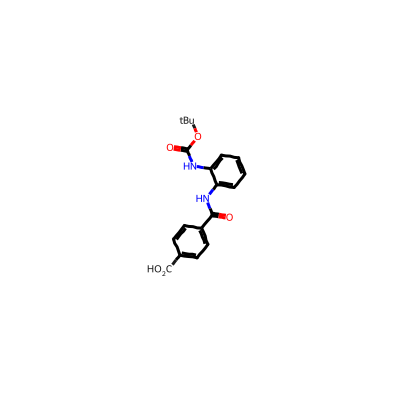 CC(C)(C)OC(=O)Nc1ccccc1NC(=O)c1ccc(C(=O)O)cc1